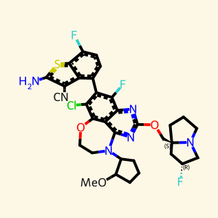 COC1CCCC1N1CCOc2c(Cl)c(-c3ccc(F)c4sc(N)c(C#N)c34)c(F)c3nc(OC[C@@]45CCCN4C[C@H](F)C5)nc1c23